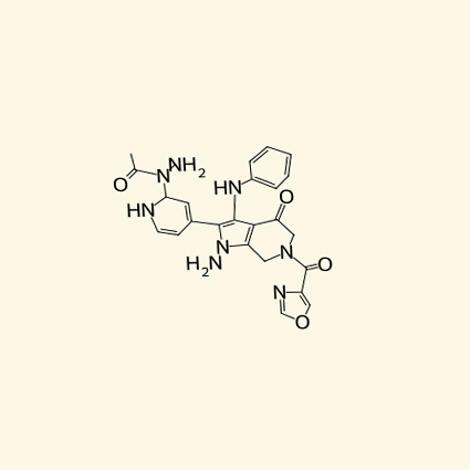 CC(=O)N(N)C1C=C(c2c(Nc3ccccc3)c3c(n2N)CN(C(=O)c2cocn2)CC3=O)C=CN1